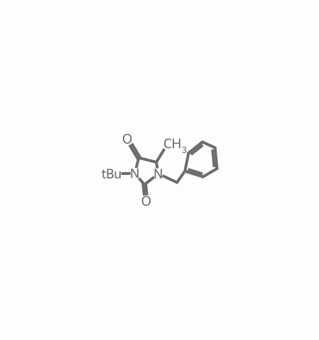 CC1C(=O)N(C(C)(C)C)C(=O)N1Cc1ccccc1